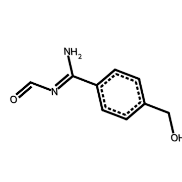 NC(=NC=O)c1ccc(CO)cc1